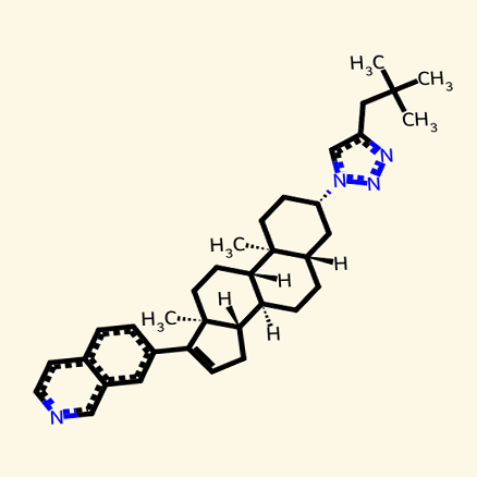 CC(C)(C)Cc1cn([C@H]2CC[C@@]3(C)[C@@H](CC[C@@H]4[C@@H]3CC[C@]3(C)C(c5ccc6ccncc6c5)=CC[C@@H]43)C2)nn1